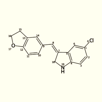 Clc1ccc2c(c1)/C(=C/c1ccc3c(c1)CCO3)CN2